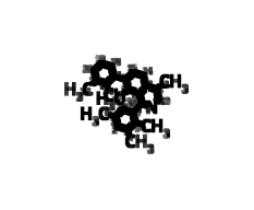 Cc1cc(C)c(C)c(-c2ncc(C)c3ccc(-c4cccc(C)c4C)c(C)c23)c1